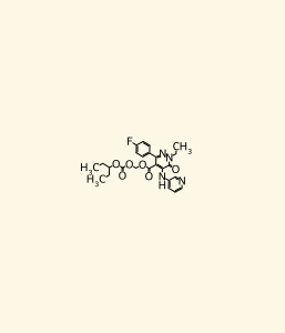 CCC(CC)OC(=O)OCOC(=O)c1c(-c2ccc(F)cc2)nn(CC)c(=O)c1Nc1cccnc1